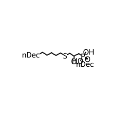 CCCCCCCCCCCCCCCSCC(CP(=O)(O)O)OCCCCCCCCCC